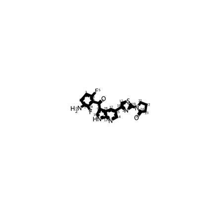 Nc1ccc(F)c(C(=O)c2c[nH]c3ncc(-c4csc(N5CCCC5=O)n4)cc23)c1F